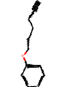 C#CCCCCOc1c[c]ccc1